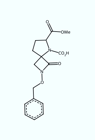 COC(=O)C1CCC2(CN(OCc3ccccc3)C2=O)N1C(=O)O